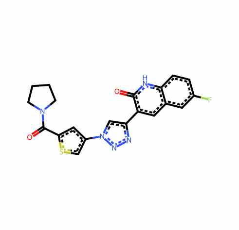 O=C(c1cc(-n2cc(-c3cc4cc(F)ccc4[nH]c3=O)nn2)cs1)N1CCCC1